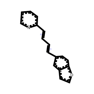 C(/C=C/c1ccccn1)=C\c1ccc2occc2c1